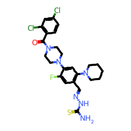 NC(=S)NN=Cc1cc(F)c(N2CCN(C(=O)c3ccc(Cl)cc3Cl)CC2)cc1N1CCCCC1